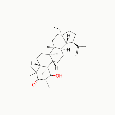 C=C(C)[C@@H]1CC[C@]2(CC)CC[C@]3(C)[C@H](CC[C@@H]4[C@@]5(C)[C@@H](O)[C@H](C)C(=O)C(C)(C)[C@@H]5CC[C@]43C)[C@@H]12